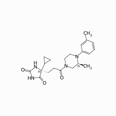 Cc1cccc(N2CCN(C(=O)CC[C@@]3(C4CC4)NC(=O)NC3=O)C[C@@H]2C)c1